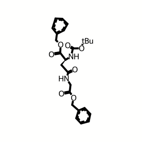 CC(C)(C)OC(=O)N[C@@H](CC(=O)NCC(=O)OCc1ccccc1)C(=O)OCc1ccccc1